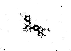 C[C@H](O)[C@@H](C)N(Cc1ccc(C(F)(F)F)cn1)C(=O)c1ccc2nc(N)c3c(c2c1)CO[C@@H]3C